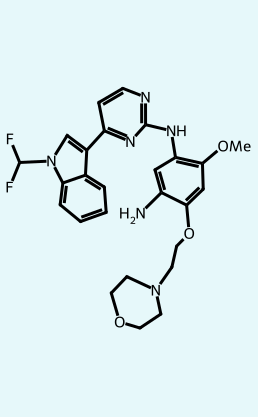 COc1cc(OCCN2CCOCC2)c(N)cc1Nc1nccc(-c2cn(C(F)F)c3ccccc23)n1